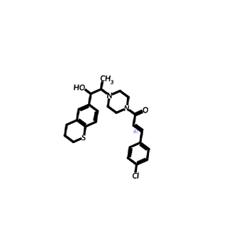 CC(C(O)c1ccc2c(c1)CCCS2)N1CCN(C(=O)/C=C/c2ccc(Cl)cc2)CC1